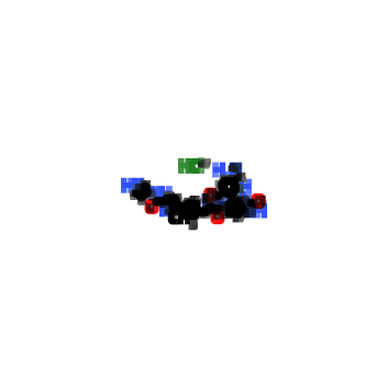 Cc1nc(C(=O)N[C@H]2CCNC2)ccc1-c1ccc(C[C@H](N)C(=O)N(c2ccc3[nH]c(=O)[nH]c3c2)C(=O)[C@H]2CC[C@H](CN)CC2)cc1.Cl